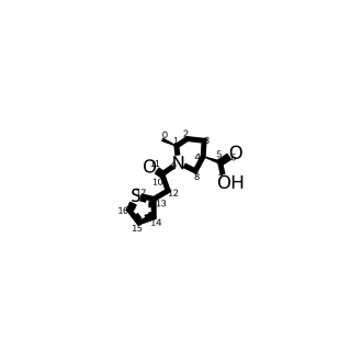 C[C@H]1CC[C@@H](C(=O)O)CN1C(=O)Cc1cccs1